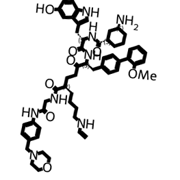 C=CNCCCC[C@H](CCC(=O)[C@H](Cc1ccc(-c2ccccc2OC)cc1)NC(=O)[C@H](Cc1c[nH]c2ccc(O)cc12)NC(=O)[C@H]1CCC[C@H](N)C1)C(=O)NCC(=O)Nc1ccc(CN2CCOCC2)cc1